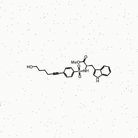 COC(=O)[C@@H](Cc1c[nH]c2ccccc12)NS(=O)(=O)c1ccc(C#CCCCCO)cc1